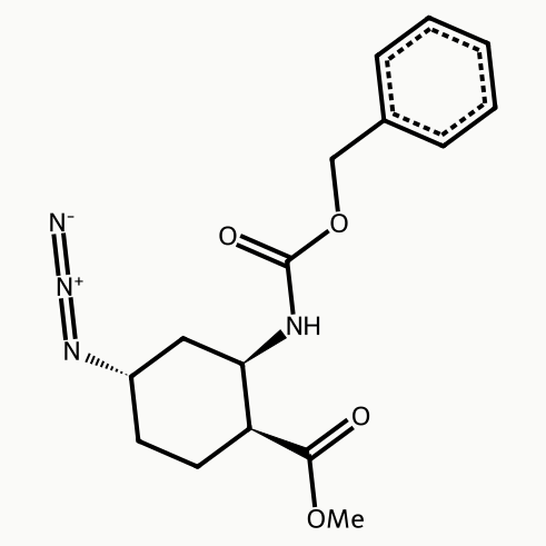 COC(=O)[C@H]1CC[C@H](N=[N+]=[N-])C[C@H]1NC(=O)OCc1ccccc1